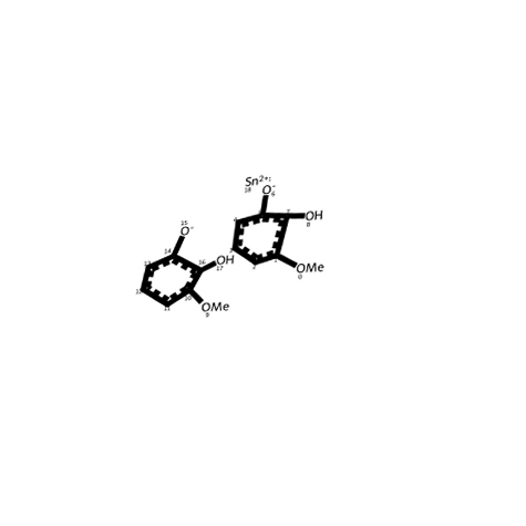 COc1cccc([O-])c1O.COc1cccc([O-])c1O.[Sn+2]